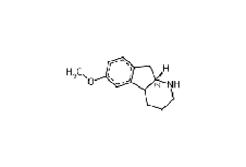 COc1ccc2c(c1)C1CCCN[C@H]1C2